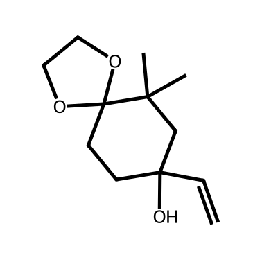 C=CC1(O)CCC2(OCCO2)C(C)(C)C1